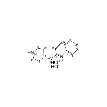 Cl.Cl.c1ccc2nc(NC3CCNCC3)ccc2c1